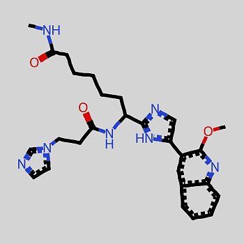 CNC(=O)CCCCCC(NC(=O)CCn1ccnc1)c1ncc(-c2cc3ccccc3nc2OC)[nH]1